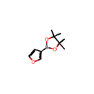 CC1(C)OB(c2[c]occ2)OC1(C)C